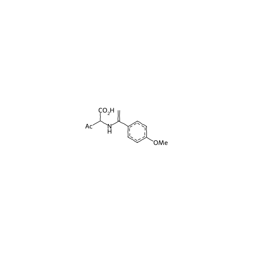 C=C(NC(C(C)=O)C(=O)O)c1ccc(OC)cc1